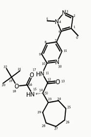 Cc1cnn(C)c1-c1ccc(NC(=O)[C@@H](NC(=O)OC(C)(C)C)C2CCCCCC2)nc1